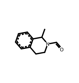 CC1c2ccccc2CCN1C=O